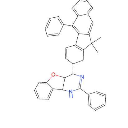 CC1(C)C2=C(C=CC(C3N=C(c4ccccc4)NC4c5ccccc5OC43)C2)c2c1cc1ccccc1c2-c1ccccc1